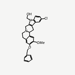 COc1cc2c(cc1OCc1ccccc1)CCN1Cc3c(c4cc(Cl)ccc4n3CO)CC21